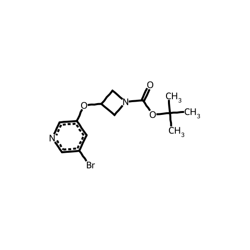 CC(C)(C)OC(=O)N1CC(Oc2cncc(Br)c2)C1